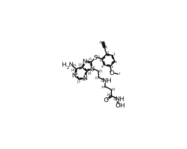 C#Cc1ccc(OC)cc1Sc1nc2c(N)ncnc2n1CCNCCC(=O)NO